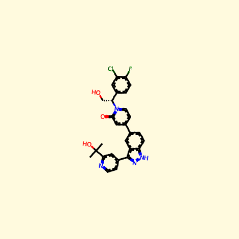 CC(C)(O)c1cc(-c2n[nH]c3ccc(-c4ccn([C@H](CO)c5ccc(F)c(Cl)c5)c(=O)c4)cc23)ccn1